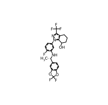 C[C@H](Nc1cc(-n2nc(C(F)(F)F)c3c2C(O)CCC3)ccc1F)c1ccc2c(c1)OC(F)(F)O2